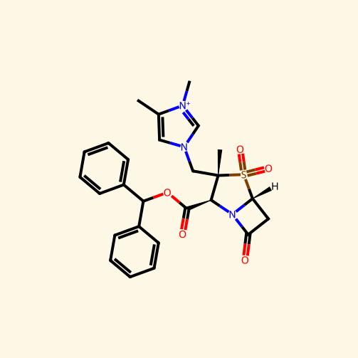 Cc1cn(C[C@@]2(C)[C@H](C(=O)OC(c3ccccc3)c3ccccc3)N3C(=O)C[C@H]3S2(=O)=O)c[n+]1C